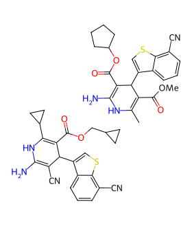 COC(=O)C1=C(C)NC(N)=C(C(=O)OC2CCCC2)C1c1csc2c(C#N)cccc12.N#CC1=C(N)NC(C2CC2)=C(C(=O)OCC2CC2)C1c1csc2c(C#N)cccc12